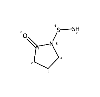 O=C1CCCN1SS